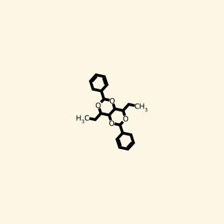 CCC1OC(C2C=CC=CC2)OC2C(CC)OC(C3C=CC=CC3)OC12